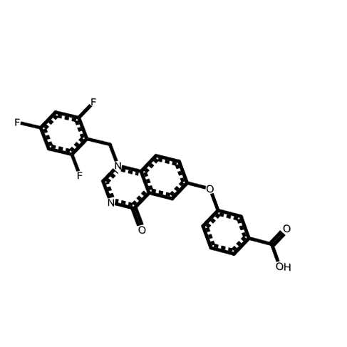 O=C(O)c1cccc(Oc2ccc3c(c2)c(=O)ncn3Cc2c(F)cc(F)cc2F)c1